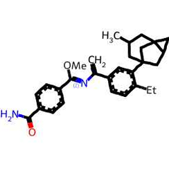 C=C(/N=C(\OC)c1ccc(C(N)=O)cc1)c1ccc(CC)c(C23CC(C)CC4(CC4C2)C3)c1